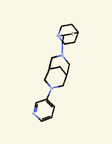 c1cncc(N2CC3CC(C2)CN(C2CC4CCN2CC4)C3)c1